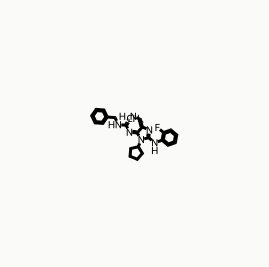 C=C(/N=C1\C(=C/N)N=C(Nc2ccccc2F)N1C1CCCC1)NCc1ccccc1